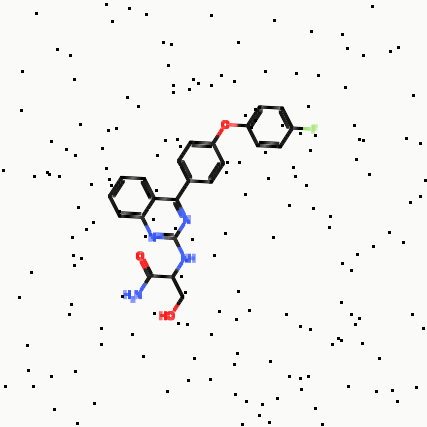 NC(=O)C(CO)Nc1nc(-c2ccc(Oc3ccc(F)cc3)cc2)c2ccccc2n1